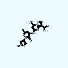 Cc1cc(Nc2cc(N)n3ncc(C(N)O)c3n2)c(=O)n(-c2cnn(C)c2)n1